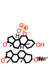 C[C@]12CC[C@@H](O)CC1CCC1C2CC[C@]2(C)C(=O)CCC12.C[C@]12CC[C@@H](O)CC1CC[C@@H]1C3CCC(=O)[C@@]3(C)CC[C@H]12.O=S(=O)([O-])[O-].[Na+].[Na+]